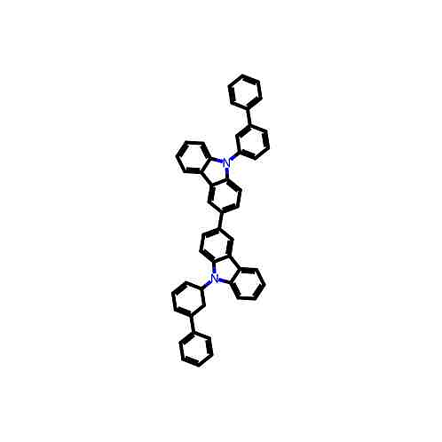 C1=CC(n2c3ccccc3c3cc(-c4ccc5c(c4)c4ccccc4n5-c4cccc(-c5ccccc5)c4)ccc32)CC(c2ccccc2)=C1